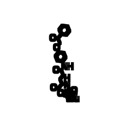 COC(=O)C(CCC(=O)Nc1ccc(OCC(=O)c2ccccc2)cc1)NC(=O)OC(C)(C)C